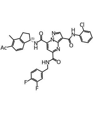 CC(=O)c1ccc2c(c1C)CC[C@@H]2NC(=O)c1cc(C(=O)NCc2ccc(F)c(F)c2)nc2c(C(=O)Nc3ccccc3Cl)cnn12